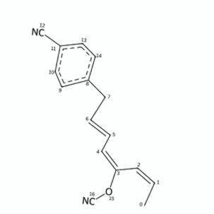 C/C=C\C(=C/C=CCc1ccc(C#N)cc1)OC#N